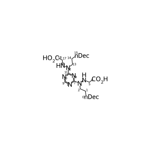 CCCCCCCCCCCCN(NCC(=O)O)c1ncnc(N(CCCCCCCCCCCC)NCC(=O)O)n1